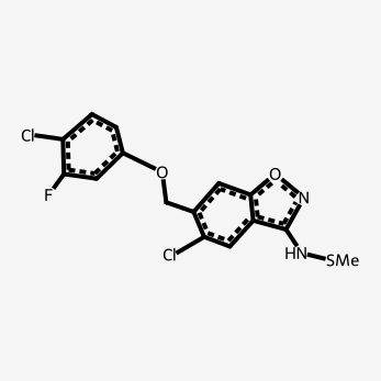 CSNc1noc2cc(COc3ccc(Cl)c(F)c3)c(Cl)cc12